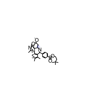 COC(=O)/C=C1/N=C(c2ccc(B3OCCC(C)(C)CO3)cc2)c2c(sc(C)c2C)-n2c(C)nnc21